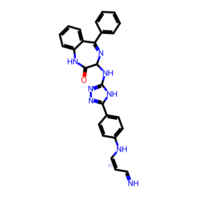 N=C/C=C\Nc1ccc(-c2nnc(NC3N=C(c4ccccc4)c4ccccc4NC3=O)[nH]2)cc1